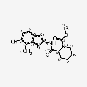 Cc1c(Cl)ccc2sc(NC(=O)[C@@H]3CCCCN3C(=O)OC(C)(C)C)nc12